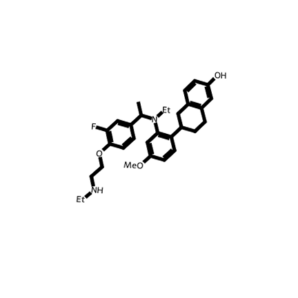 CCNCCOc1ccc(C(C)N(CC)c2cc(OC)ccc2C2CCc3cc(O)ccc3C2)cc1F